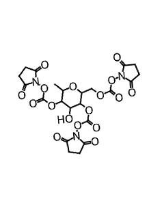 CC1OC(COC(=O)ON2C(=O)CCC2=O)C(OC(=O)ON2C(=O)CCC2=O)C(O)C1OC(=O)ON1C(=O)CCC1=O